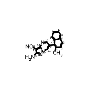 Cc1ccc2ccccc2c1-c1cnc2c(C#N)c(N)nn2c1